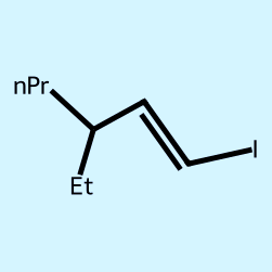 CCCC(C=CI)CC